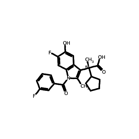 Cc1c([C@](C)(C(=O)O)C2CCCC2)c2cc(O)c(F)cc2n1C(=O)c1cccc(F)c1